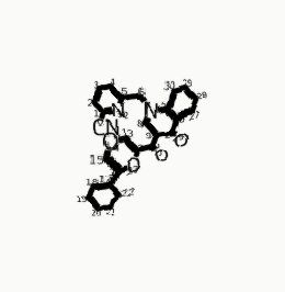 N#Cc1cccc(Cn2cc(C(=O)C3=COC=C(C4=CC=CCC4)O3)c(=O)c3ccccc32)n1